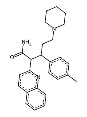 Cc1ccc(C(CCN2CCCCC2)C(C(N)=O)c2ccc3ccccc3n2)cc1